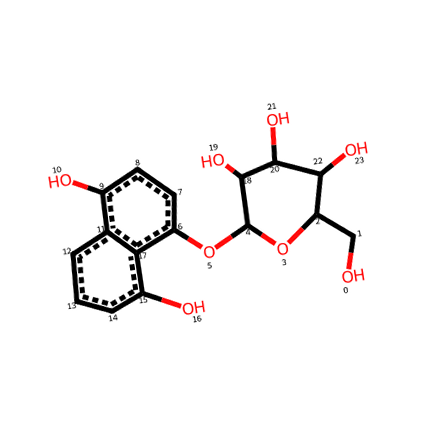 OCC1OC(Oc2ccc(O)c3cccc(O)c23)C(O)C(O)C1O